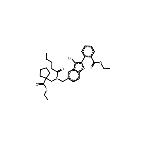 CCCCC(=O)N(Cc1ccc2sc(-c3ccccc3C(=O)OCC)c(Br)c2c1)CC1(C(=O)OCC)CCCC1